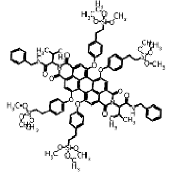 CO[Si](CCc1ccc(Oc2cc3c4c(cc(Oc5ccc(CC[Si](OC)(OC)OC)cc5)c5c6c(Oc7ccc(CC[Si](OC)(OC)OC)cc7)cc7c8c(cc(Oc9ccc(CC[Si](OC)(OC)OC)cc9)c(c2c45)c86)C(=O)N(C(C(=O)NCc2ccccc2)C(C)C)C7=O)C(=O)N(C(C(=O)NCc2ccccc2)C(C)C)C3=O)cc1)(OC)OC